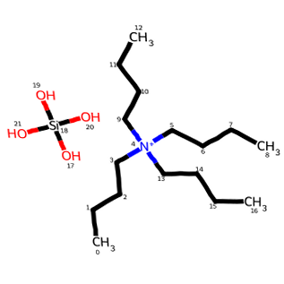 CCCC[N+](CCCC)(CCCC)CCCC.O[Si](O)(O)O